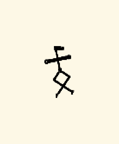 CNS(=O)(=O)N1CC(F)(F)C1